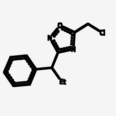 CCC(c1ccccc1)c1noc(CCl)n1